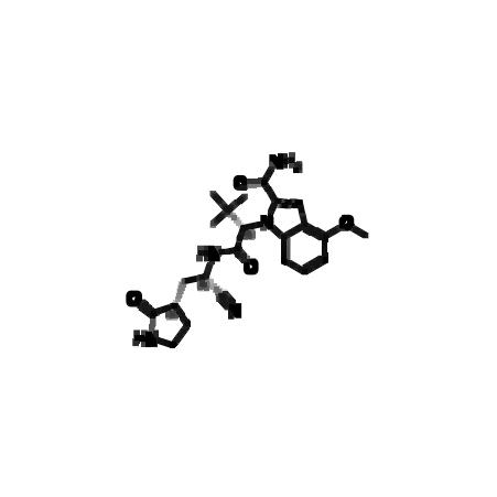 COc1cccc2c1cc(C(N)=O)n2[C@H](C(=O)N[C@H](C#N)C[C@@H]1CCNC1=O)C(C)(C)C